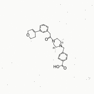 C[C@@H]1CN(C(=O)Cc2cccc(C3=CCOCC3)c2)C[C@H](C)N1Cc1ccc(C(=O)O)cc1